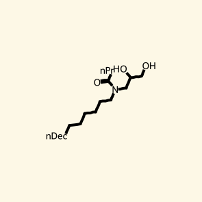 CCCCCCCCCCCCCCCCN(CC(O)CO)C(=O)CCC